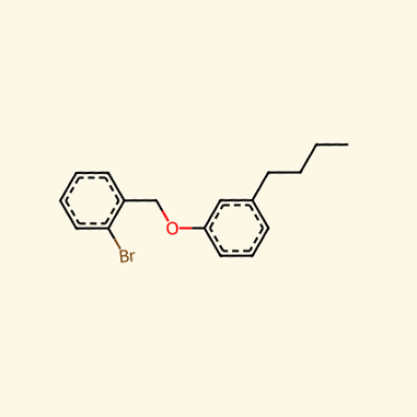 CCCCc1cccc(OCc2ccccc2Br)c1